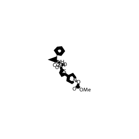 COC(=O)ON1CC=C(c2ccc(S(=O)(=O)N[C@@]3(C(=O)O)C[C@@H]3c3ccccc3)s2)CC1